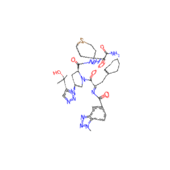 Cn1nnc2cc(C(=O)/N=C(\CC3CCCCC3)C(=O)N3C[C@@H](n4nncc4C(C)(C)O)C[C@H]3C(=O)NC3(C(=O)C(N)=O)CCSCC3)ccc21